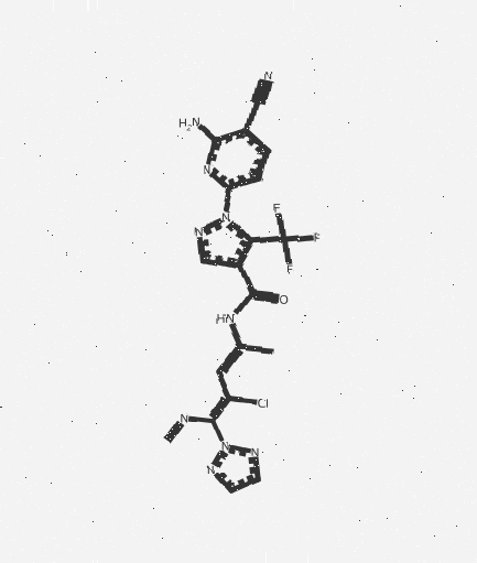 C=N/C(=C(Cl)\C=C(/C)NC(=O)c1cnn(-c2ccc(C#N)c(N)n2)c1C(F)(F)F)n1nccn1